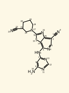 N#Cc1cnc(Nc2cc(N)ncn2)c2sc(N3CCCC(C#N)C3)nc12